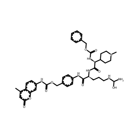 Cc1cc(=O)oc2cc(NC(=O)OCc3ccc(NC(=O)[C@H](CCCNC(N)O)NC(=O)[C@@H](NC(=O)OCc4ccccc4)C4CCN(C)CC4)cc3)ccc12